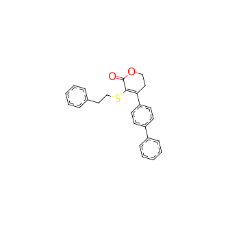 O=C1OCCC(c2ccc(-c3ccccc3)cc2)=C1SCCc1ccccc1